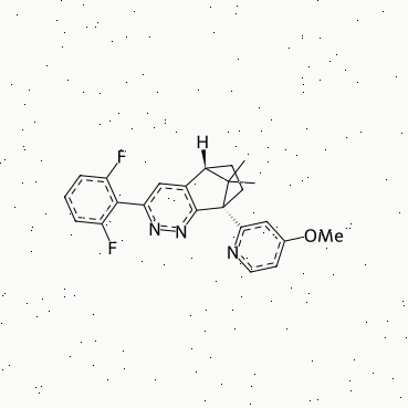 COc1ccnc([C@]23CC[C@@H](c4cc(-c5c(F)cccc5F)nnc42)C3(C)C)c1